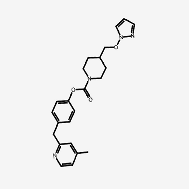 Cc1ccnc(Cc2ccc(OC(=O)N3CCC(COn4cccn4)CC3)cc2)c1